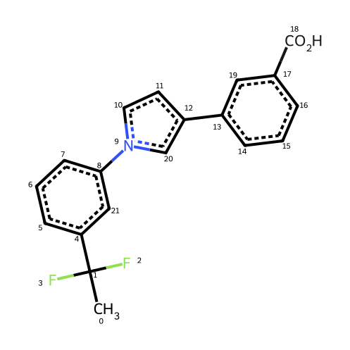 CC(F)(F)c1cccc(-n2ccc(-c3cccc(C(=O)O)c3)c2)c1